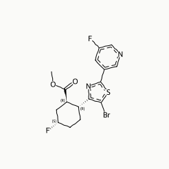 COC(=O)[C@@H]1C[C@@H](F)CC[C@H]1c1nc(-c2cncc(F)c2)sc1Br